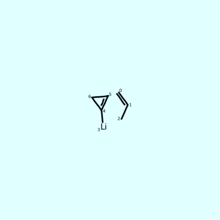 C=CC.[Li][C]1=CC1